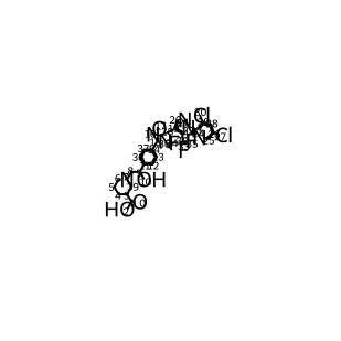 O=C(O)C1CCCN(CC(O)c2ccc(-c3noc(-c4cnn(-c5ncc(Cl)cc5Cl)c4C(F)(F)F)n3)cc2)C1